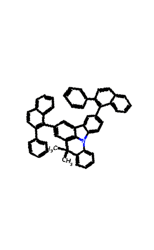 CC1(C)c2ccccc2-n2c3ccc(-c4c(-c5ccccc5)ccc5ccccc45)cc3c3cc(-c4c(-c5ccccc5)ccc5ccccc45)cc1c32